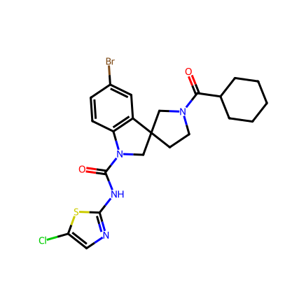 O=C(C1CCCCC1)N1CCC2(C1)CN(C(=O)Nc1ncc(Cl)s1)c1ccc(Br)cc12